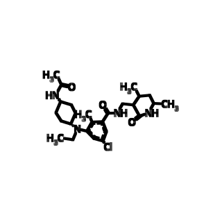 CCN(c1cc(Cl)cc(C(=O)NCC2C(=O)NC(C)CC2C)c1C)[C@H]1CC[C@H](NC(C)=O)CC1